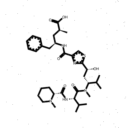 CC(C)[C@H](NC(=O)[C@H]1CCCCN1C)C(=O)N(C)[C@H](C[C@@H](O)c1nc(C(=O)N[C@@H](Cc2ccccc2)C[C@H](C)C(=O)O)cs1)C(C)C